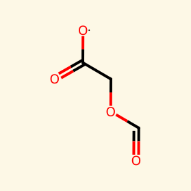 [O]C(=O)COC=O